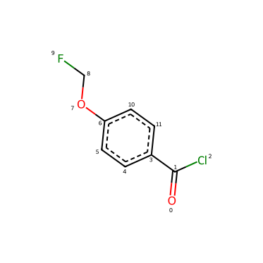 O=C(Cl)c1ccc(OCF)cc1